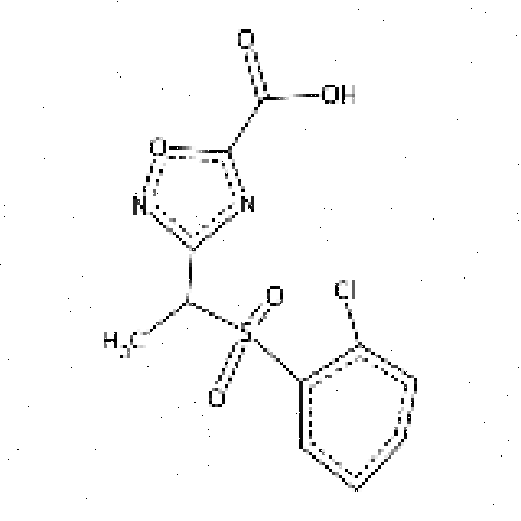 CC(c1noc(C(=O)O)n1)S(=O)(=O)c1ccccc1Cl